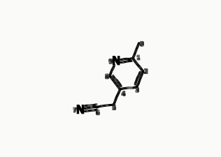 Cc1ccc(CC#N)cn1